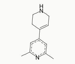 Cc1cc(C2=CCNCC2)cc(C)n1